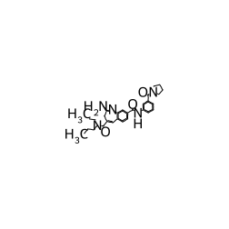 CCCN(CCC)C(=O)C1=Cc2ccc(C(=O)Nc3cccc(C(=O)N4CCCC4)c3)cc2N=C(N)C1